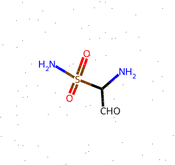 NC(C=O)S(N)(=O)=O